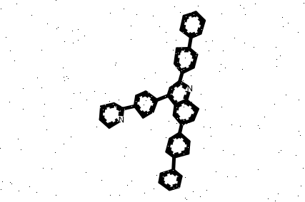 c1ccc(-c2ccc(-c3ccc4nc(-c5ccc(-c6ccccc6)cc5)cc(-c5ccc(-c6ccccn6)cc5)c4c3)cc2)cc1